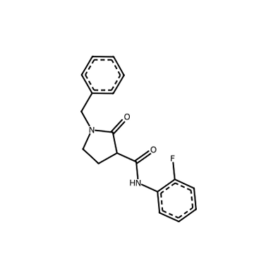 O=C(Nc1ccccc1F)C1CCN(Cc2ccccc2)C1=O